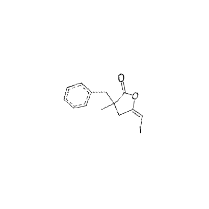 CC1(Cc2ccccc2)CC(=CI)OC1=O